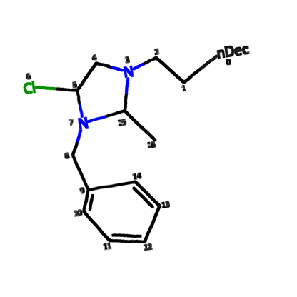 CCCCCCCCCCCCN1CC(Cl)N(Cc2ccccc2)C1C